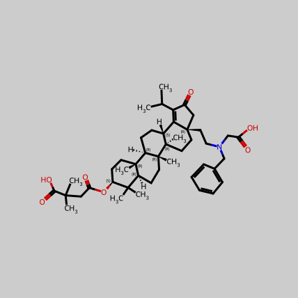 CC(C)C1=C2[C@H]3CC[C@@H]4[C@@]5(C)CC[C@H](OC(=O)CC(C)(C)C(=O)O)C(C)(C)[C@@H]5CC[C@@]4(C)[C@]3(C)CC[C@@]2(CCN(CC(=O)O)Cc2ccccc2)CC1=O